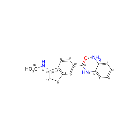 Nc1ccccc1NC(=O)c1ccc2c(c1)CC[C@@H]2NC(=O)O